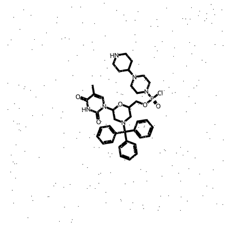 Cc1cn(C2CN(C(c3ccccc3)(c3ccccc3)c3ccccc3)CC(COP(=O)(Cl)N3CCN(C4CCNCC4)CC3)O2)c(=O)[nH]c1=O